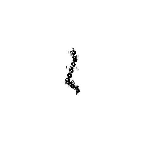 CC(C)(C1CCN(c2ccc(-c3cnc4[nH]cc(C(=O)c5c(F)ccc(NS(=O)(=O)N6CC[C@@H](F)C6)c5F)c4c3)cc2)CC1)N1CCN(c2ccc3c(c2)CN(C2CCC(=O)NC2=O)C3=O)CC1